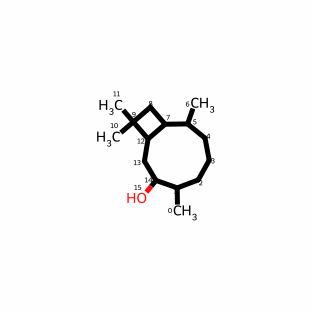 CC1CCCC(C)C2CC(C)(C)C2CC1O